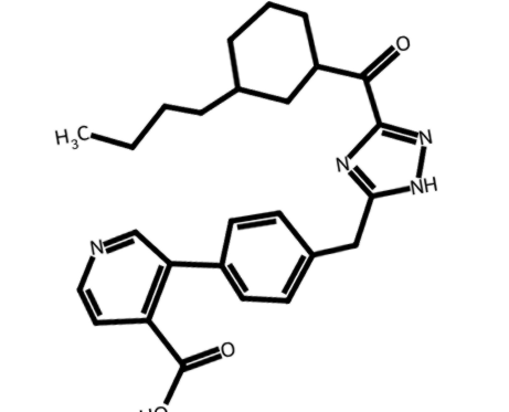 CCCCC1CCCC(C(=O)c2n[nH]c(Cc3ccc(-c4cnccc4C(=O)O)cc3)n2)C1